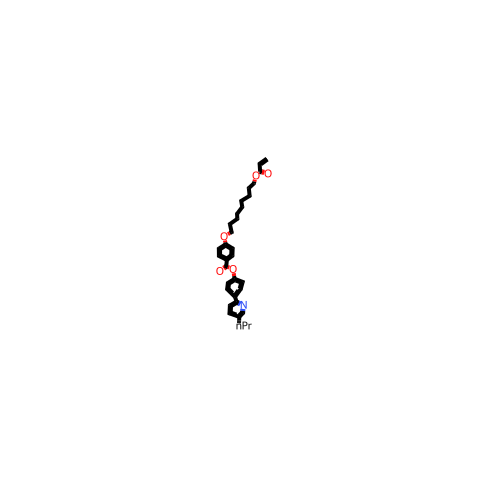 C=CC(=O)OCCCCCCCCCOc1ccc(C(=O)Oc2ccc(-c3ccc(CCC)cn3)cc2)cc1